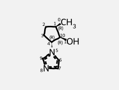 C[C@@H]1CC[C@@H](n2ccnc2)[C@@H]1O